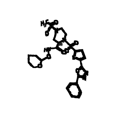 CS(=O)(=O)N1CCN(S(=O)(=O)c2ccc(-c3nnc(-c4ccccc4)o3)s2)[C@@H](C(=O)NOC2CCCCO2)C1